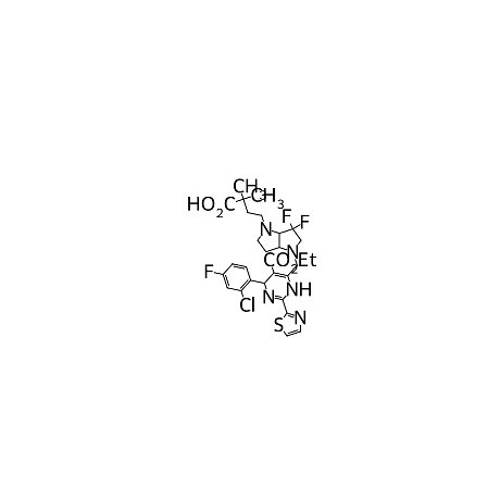 CCOC(=O)C1=C(CN2CC(F)(F)C3C2CCN3CCC(C)(C)C(=O)O)NC(c2nccs2)=NC1c1ccc(F)cc1Cl